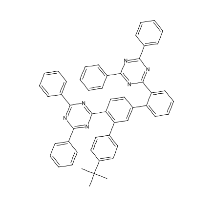 CC(C)(C)c1ccc(-c2cc(-c3ccccc3-c3nc(-c4ccccc4)nc(-c4ccccc4)n3)ccc2-c2nc(-c3ccccc3)nc(-c3ccccc3)n2)cc1